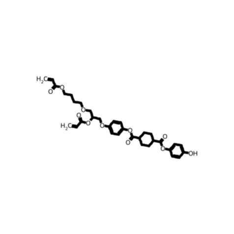 C=CC(=O)OCCCCOCC(COc1ccc(OC(=O)C2CCC(C(=O)Oc3ccc(O)cc3)CC2)cc1)OC(=O)C=C